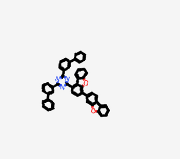 c1ccc(-c2cccc(-c3nc(-c4cccc(-c5ccccc5)c4)nc(-c4ccc(-c5ccc6c(c5)oc5ccccc56)c5oc6ccccc6c45)n3)c2)cc1